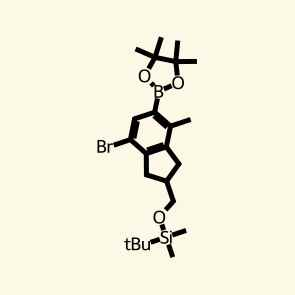 Cc1c(B2OC(C)(C)C(C)(C)O2)cc(Br)c2c1CC(CO[Si](C)(C)C(C)(C)C)C2